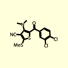 CSc1sc(C(=O)c2ccc(Cl)c(Cl)c2)c(N(C)C)c1C#N